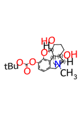 CN1CC[C@]23c4c5ccc(OC(=O)OC(C)(C)C)c4O[C@H]2C(O)CC[C@@]3(O)[C@H]1C5